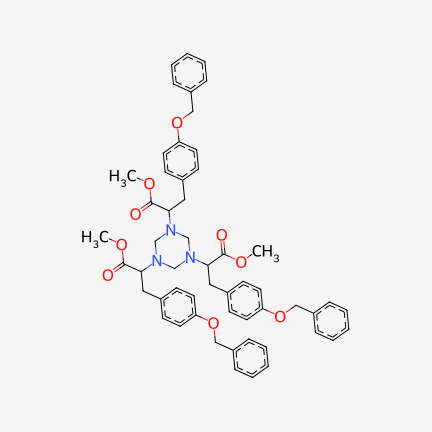 COC(=O)C(Cc1ccc(OCc2ccccc2)cc1)N1CN(C(Cc2ccc(OCc3ccccc3)cc2)C(=O)OC)CN(C(Cc2ccc(OCc3ccccc3)cc2)C(=O)OC)C1